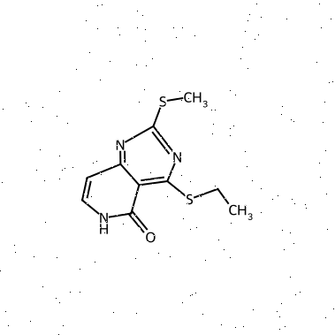 CCSc1nc(SC)nc2cc[nH]c(=O)c12